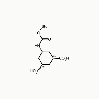 CC(C)(C)OC(=O)NC1C[C@@H](C(=O)O)C[C@@H](C(=O)O)C1